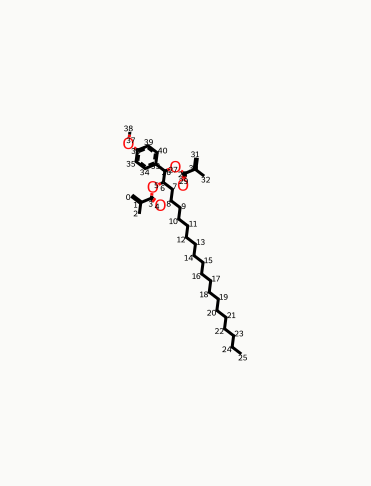 C=C(C)C(=O)OC(CCCCCCCCCCCCCCCCCCC)C(OC(=O)C(=C)C)c1ccc(OC)cc1